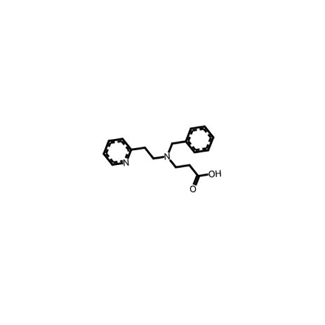 O=C(O)CCN(CCc1ccccn1)Cc1ccccc1